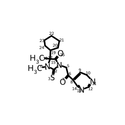 CN1C(=S)N(CC(=O)C2=CCN=CN=C2)C(=O)C1(C)C1CCCCC1